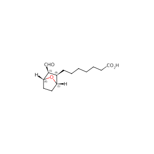 O=C[C@H]1[C@@H](CCCCCCC(=O)O)[C@@H]2CC[C@H]1O2